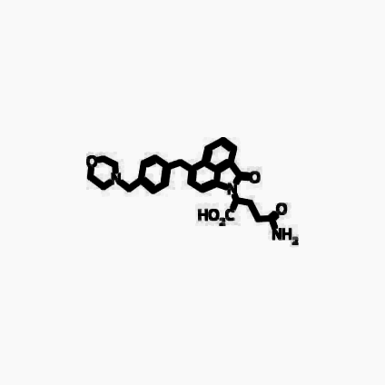 NC(=O)CCC(C(=O)O)N1C(=O)c2cccc3c(Cc4ccc(CN5CCOCC5)cc4)ccc1c23